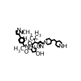 CC(C)[C@H](C(=O)N1C[C@H](O)C[C@H]1C(=O)N[C@@H](C)c1ccc(-c2ccnn2C)cc1)c1cc(N2CCC(CC3CCNCC3)CC2)no1